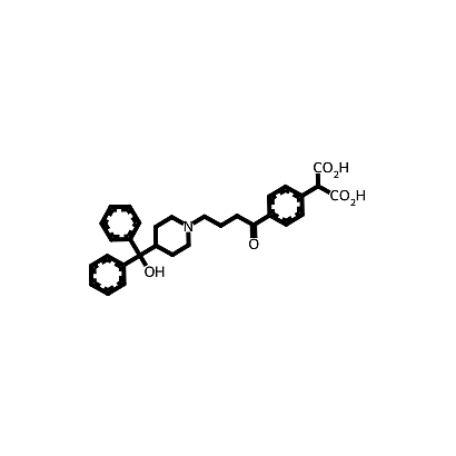 O=C(CCCN1CCC(C(O)(c2ccccc2)c2ccccc2)CC1)c1ccc(C(C(=O)O)C(=O)O)cc1